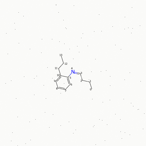 CCC/C=N\c1ccccc1CCC